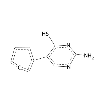 Nc1ncc(-c2ccccc2)c(S)n1